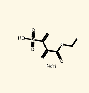 C=C(C(=C)S(=O)(=O)O)C(=O)OCC.[NaH]